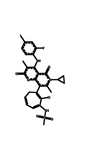 Cc1c(Nc2ccc(I)cc2F)c2c(=O)n(C3CC3)c(C)c(C3=C(Cl)C(NS(C)(=O)=O)=CC=CC3)c2oc1=O